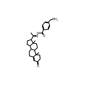 CC(=NOC(=O)c1ccc(CN)cc1)C1CCC2C3CCC4=CC(=O)CCC4(C)C3CCC12C